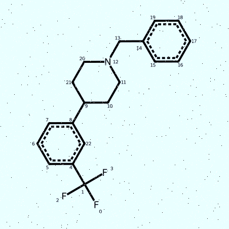 FC(F)(F)c1cccc(C2CCN(Cc3ccccc3)CC2)c1